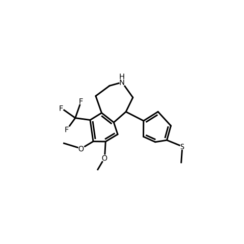 COc1cc2c(c(C(F)(F)F)c1OC)CCNCC2c1ccc(SC)cc1